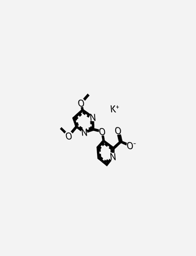 COc1cc(OC)nc(Oc2cccnc2C(=O)[O-])n1.[K+]